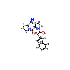 N#C[C@@H]1CCCN1C(=O)[C@H]1CCCN1C(=O)CC1=Cc2ccccc2C1